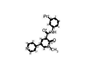 CC(C)c1cccc(NC(=O)c2cc(-c3ccncc3)cn(C)c2=O)c1